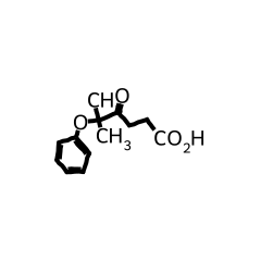 CC(C)(Oc1ccccc1)C(=O)CCC(=O)O